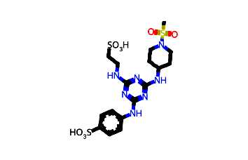 CS(=O)(=O)N1CCC(Nc2nc(NCCS(=O)(=O)O)nc(Nc3ccc(S(=O)(=O)O)cc3)n2)CC1